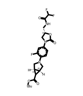 CC(C)(C)OC(=O)C1[C@H]2CN(c3ccc(N4C[C@H](CNC(=O)C(F)F)OC4=O)cc3F)C[C@@H]12